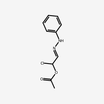 CC(=O)OC(Cl)C=NNc1ccccc1